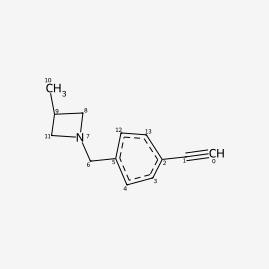 C#Cc1ccc(CN2CC(C)C2)cc1